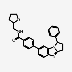 O=C(NCC1CCCO1)c1ccc(-c2ccc3nc4n(c3c2)C(c2ccccc2)CC4)cc1